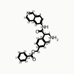 NCC(C(=O)Nc1ccc2cnccc2c1)c1ccc(COC(=O)c2ccccc2)cc1F